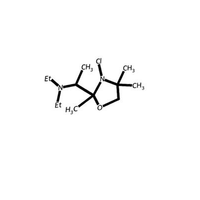 CCN(CC)C(C)C1(C)OCC(C)(C)N1Cl